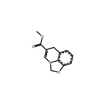 COC(=O)C1=CN2COc3cccc(c32)C1